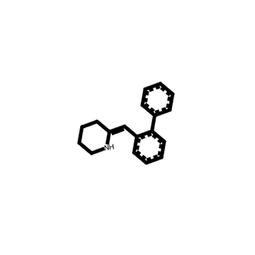 C(=C1CCCCN1)c1ccccc1-c1ccccc1